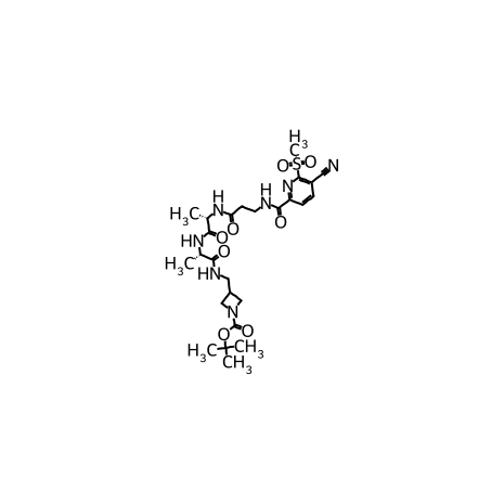 C[C@H](NC(=O)CCNC(=O)c1ccc(C#N)c(S(C)(=O)=O)n1)C(=O)N[C@@H](C)C(=O)NCC1CN(C(=O)OC(C)(C)C)C1